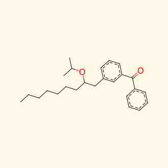 CCCCCCCC(Cc1cccc(C(=O)c2ccccc2)c1)OC(C)C